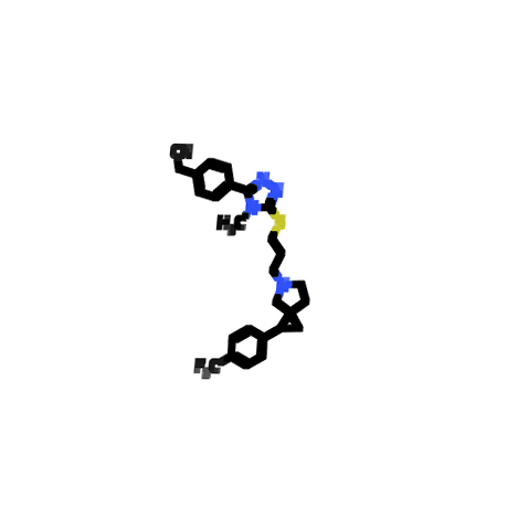 Cn1c(SCCCN2CCC3(CC3c3ccc(C(F)(F)F)cc3)C2)nnc1-c1ccc(CC#N)cc1